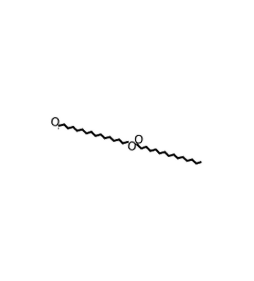 CCCCCCCCCCCCCCC(=O)OCCCCCCCCCCCCCCC[C]=O